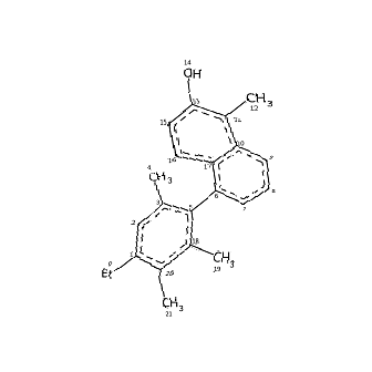 CCc1cc(C)c(-c2cccc3c(C)c(O)ccc23)c(C)c1C